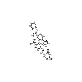 O=CN(Cc1cccnc1)c1ccc(-c2sccc2-c2cc([N+](=O)[O-])ccc2OCc2ccc(F)cc2Cl)cc1